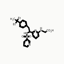 CCC(C)(CC)c1ccc(CC(NS(=O)(=O)c2cccnc2)c2cccc(NCC(=O)O)n2)cc1